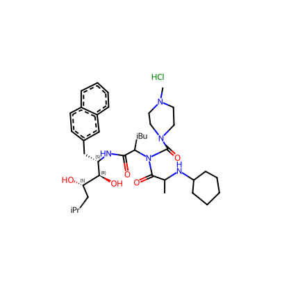 CCC(C)C(C(=O)N[C@@H](Cc1ccc2ccccc2c1)[C@@H](O)[C@@H](O)CC(C)C)N(C(=O)C(C)NC1CCCCC1)C(=O)N1CCN(C)CC1.Cl